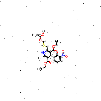 CCOC(=O)C1=C(C)NC(CSCOC(C)OC)=C(C(=O)OCC)C1c1cccc([N+](=O)[O-])c1